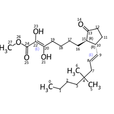 CCCCC(C)(C)C/C=C/[C@H]1CCC(=O)[C@@H]1CCCC/C(O)=C(\O)C(=O)OC